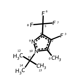 Cc1c(F)c(C(F)(F)F)nn1C(C)(C)C